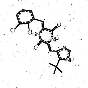 CC(C)(C)c1[nH]cnc1/C=c1\[nH]c(=O)/c(=C/c2cccc(Cl)c2Cl)[nH]c1=O